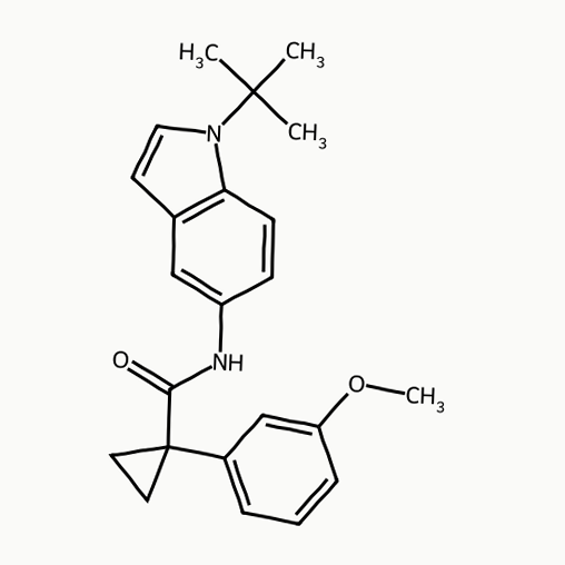 COc1cccc(C2(C(=O)Nc3ccc4c(ccn4C(C)(C)C)c3)CC2)c1